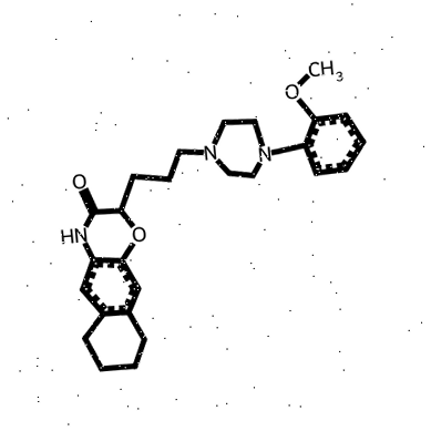 COc1ccccc1N1CCN(CCCC2Oc3cc4c(cc3NC2=O)CCCC4)CC1